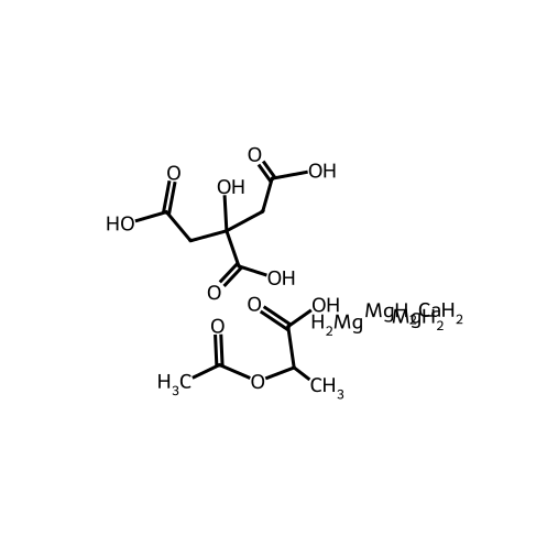 CC(=O)OC(C)C(=O)O.O=C(O)CC(O)(CC(=O)O)C(=O)O.[CaH2].[MgH2].[MgH2].[MgH2]